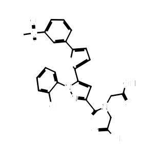 CS(=O)(=O)c1cccc(-c2ccc(-c3cc(C(=O)N(CC(=O)O)CC(=O)O)nn3-c3ccccc3Cl)s2)c1